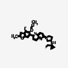 COCOc1c(-c2ccc3nc(N4CCC(NC5(CF)CC5)C4)ccc3n2)cc2oc(C)nc2c1F